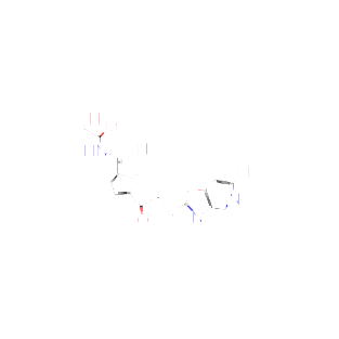 C[C@@H](NC(=O)CO)c1ccc(C(=O)CSc2nc3cnc(C(F)(F)F)cc3o2)s1